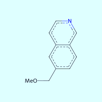 COCc1ccc2cnccc2c1